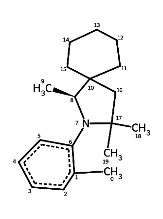 Cc1ccccc1N1[C@@H](C)C2(CCCCC2)CC1(C)C